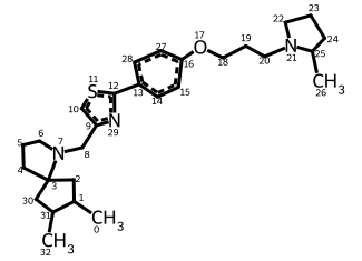 CC1CC2(CCCN2Cc2csc(-c3ccc(OCCCN4CCCC4C)cc3)n2)CC1C